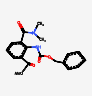 COC(=O)c1cccc(C(=O)N(C)C)c1NC(=O)OCc1ccccc1